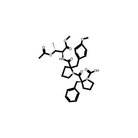 COC(=O)[C@@H](NC(=O)C1(Cc2ccc(OC)cc2)CCCN1C(=O)[C@@]1(Cc2ccccc2)CCCN1C(=O)O)[C@@H](C)OC(C)=O